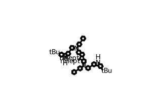 CCCCCCCC1(CCCCCCC)c2cc(N(c3ccc(-c4ccccc4)cc3)c3cccc(-c4ccc5[nH]c6ccc(C(C)(C)C)cc6c5c4)c3)ccc2-c2ccc3cc(N(c4ccc(-c5ccccc5)cc4)c4cccc(-c5ccc6[nH]c7ccc(C(C)(C)C)cc7c6c5)c4)ccc3c21